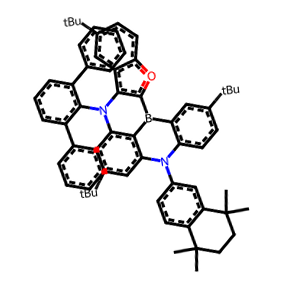 CC(C)(C)c1ccc2c(c1)B1c3oc4ccc(C(C)(C)C)cc4c3N(c3c(-c4ccccc4)cccc3-c3ccccc3)c3cc(C(C)(C)C)cc(c31)N2c1ccc2c(c1)C(C)(C)CCC2(C)C